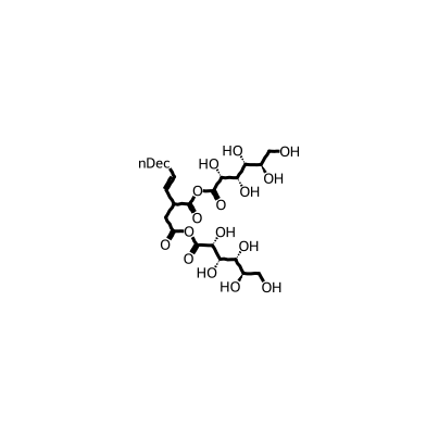 CCCCCCCCCCC=CC(CC(=O)OC(=O)[C@H](O)[C@@H](O)[C@H](O)[C@H](O)CO)C(=O)OC(=O)[C@H](O)[C@@H](O)[C@H](O)[C@H](O)CO